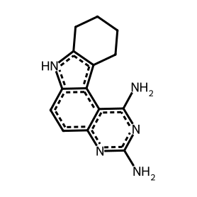 Nc1nc(N)c2c(ccc3[nH]c4c(c32)CCCC4)n1